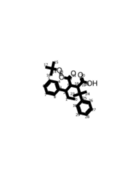 CCC(c1ccccc1)C(C(=O)OOC(C)(C)C)C(C(=O)O)C(C)(C)c1ccccc1